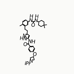 Cc1ccc(NC(=O)NC2CCC(C)(C)CC2)cc1CCc1cc(NC(=O)c2ccc(OC3CN(C(C)C)C3)cc2)[nH]n1